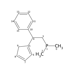 CP(C)CC(C1=CC=CC1)c1ccccc1